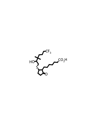 CC(C)(CCCC(F)(F)F)C(O)CSC1CCC(=O)C1CCCCCCC(=O)O